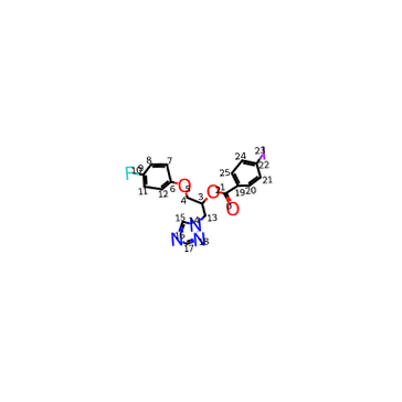 O=C(OC(COc1ccc(F)cc1)Cn1cncn1)c1ccc(I)cc1